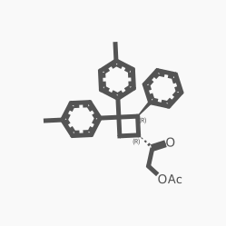 CC(=O)OCC(=O)[C@@H]1CC(c2ccc(C)cc2)(c2ccc(C)cc2)[C@H]1c1ccccc1